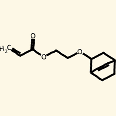 C=CC(=O)OCCOC1CC2C=CC1CC2